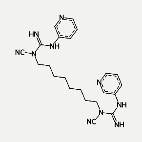 N#CN(CCCCCCCCN(C#N)C(=N)Nc1cccnc1)C(=N)Nc1cccnc1